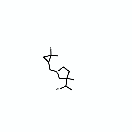 CC(C)C(C)C1(C)CCN(CC2CC2(F)F)C1